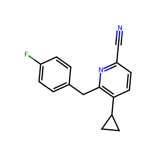 N#Cc1ccc(C2CC2)c(Cc2ccc(F)cc2)n1